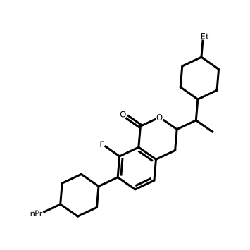 CCCC1CCC(c2ccc3c(c2F)C(=O)OC(C(C)C2CCC(CC)CC2)C3)CC1